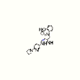 N=C1CN(c2ccccc2O)C(=O)/C1=C/Nc1ccc(N2CCCC2)nc1